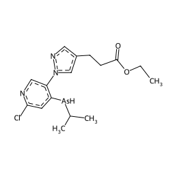 CCOC(=O)CCc1cnn(-c2cnc(Cl)cc2[AsH]C(C)C)c1